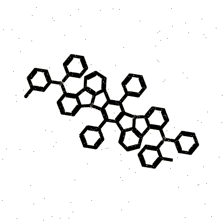 Cc1cccc(N(c2ccccc2)c2cccc3c2c2cccc4c5c(-c6ccccc6)c6c(c(-c7ccccc7)c5n3c24)c2cccc3c4c(N(c5ccccc5)c5ccccc5C)cccc4n6c32)c1